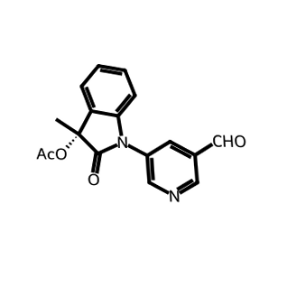 CC(=O)O[C@@]1(C)C(=O)N(c2cncc(C=O)c2)c2ccccc21